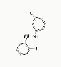 Ic1cccc(NNc2ccccc2I)c1